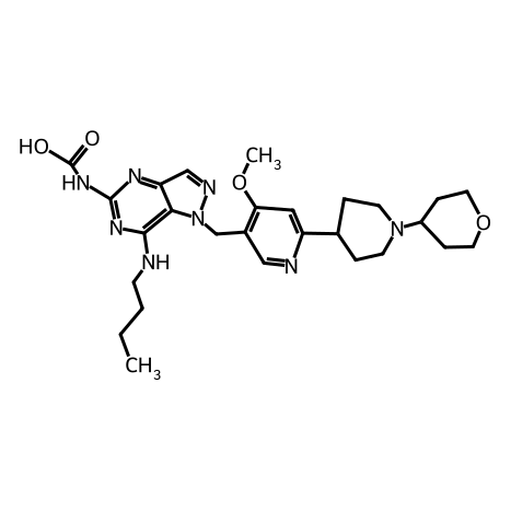 CCCCNc1nc(NC(=O)O)nc2cnn(Cc3cnc(C4CCN(C5CCOCC5)CC4)cc3OC)c12